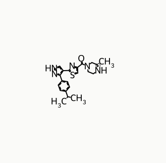 CC(C)c1ccc(-c2n[nH]cc2-c2nc(C(=O)N3CCN[C@@H](C)C3)cs2)cc1